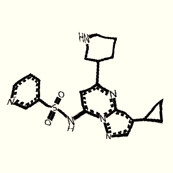 O=S(=O)(Nc1cc(C2CCCNC2)nc2c(C3CC3)cnn12)c1cccnc1